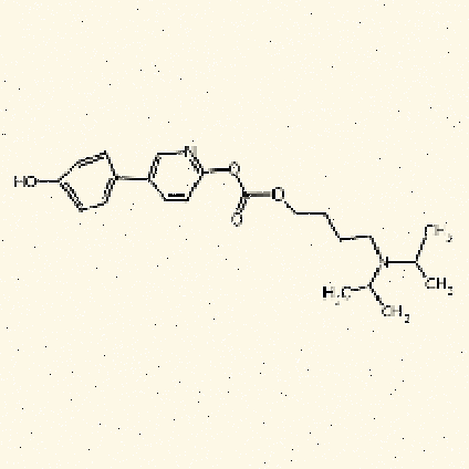 CC(C)N(CCCCOC(=O)Oc1ccc(-c2ccc(O)cc2)cn1)C(C)C